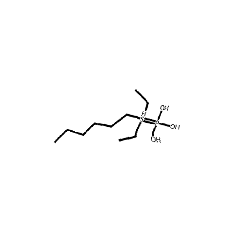 CCCCCC[SH](CC)(CC)=P(O)(O)O